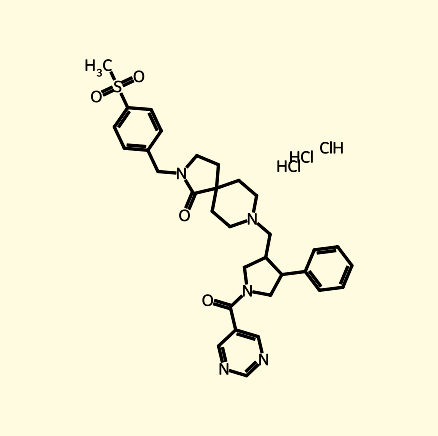 CS(=O)(=O)c1ccc(CN2CCC3(CCN(CC4CN(C(=O)c5cncnc5)CC4c4ccccc4)CC3)C2=O)cc1.Cl.Cl.Cl